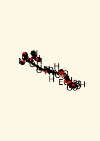 CCc1c2c(nc3ccc(OC(=O)c4cccc(C(=O)NCCNC(=O)Cn5cc(CCC(=O)NCCCCOc6cc(CN(Cc7ccccn7)Cc7ccccn7)cc(CN(Cc7ccccn7)Cc7ccccn7)c6)nn5)c4)cc13)-c1cc3c(c(=O)n1C2)COC(=O)[C@@]3(O)CC